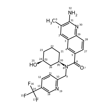 Cc1cc2cc(C(=O)N(Cc3ccc(C(F)(F)F)cn3)[C@@H]3CCC[C@H](O)C3)ccc2nc1N